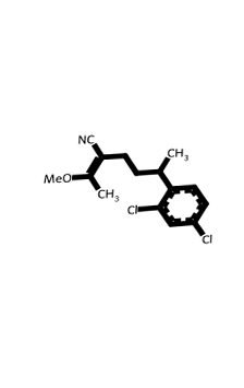 COC(C)=C(C#N)CCC(C)c1ccc(Cl)cc1Cl